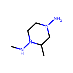 CNN1CCN(N)CC1C